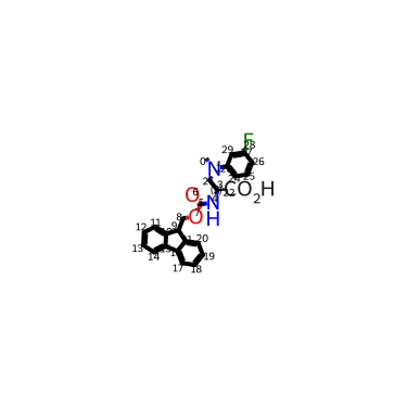 CN(C[C@H](NC(=O)OCC1c2ccccc2-c2ccccc21)C(=O)O)c1cccc(F)c1